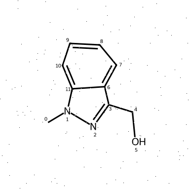 Cn1nc(CO)c2ccccc21